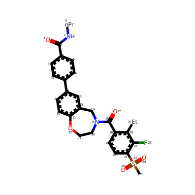 CCCNC(=O)c1ccc(-c2ccc3c(c2)CN(C(=O)c2ccc(S(C)(=O)=O)c(F)c2CC)CCO3)cc1